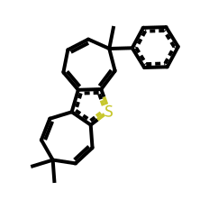 CC1(C)C=Cc2sc3c(c2C=C1)=CC=CC(C)(c1ccccc1)C=3